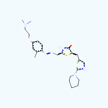 Cc1cc(OCCN(C)C)ccc1N=NC=c1[nH]c(=O)c(=Cc2cnc(N3CCCCC3)s2)s1